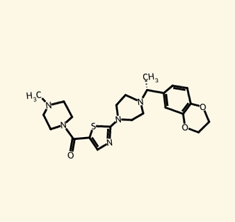 C[C@H](c1ccc2c(c1)OCCO2)N1CCN(c2ncc(C(=O)N3CCN(C)CC3)s2)CC1